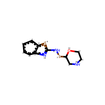 c1ccc2sc(NSC3CNCCO3)nc2c1